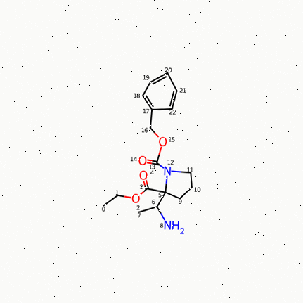 CCOC(=O)C1(C(C)N)CCCN1C(=O)OCc1ccccc1